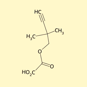 C#CC(C)(C)COC(=O)C(=O)O